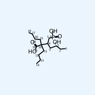 CCCCC(CP(=O)(O)O)C(CCCC)(CCCC)C(=O)O